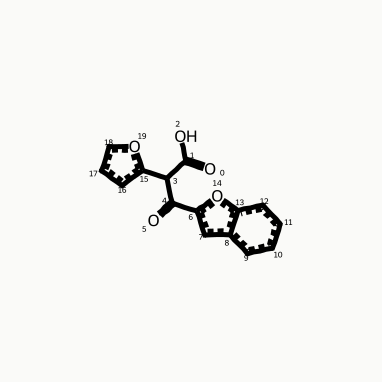 O=C(O)C(C(=O)c1cc2ccccc2o1)c1ccco1